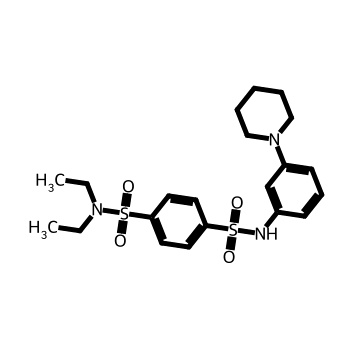 CCN(CC)S(=O)(=O)c1ccc(S(=O)(=O)Nc2cccc(N3CCCCC3)c2)cc1